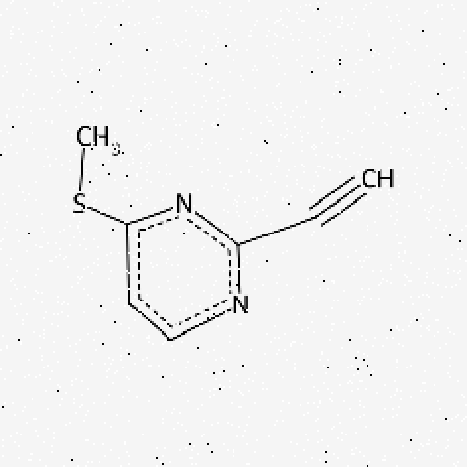 C#Cc1nccc(SC)n1